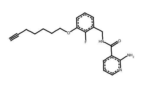 C#CCCCCCOc1cccc(CNC(=O)c2cccnc2N)c1F